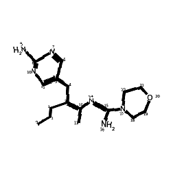 CCC/C(Cc1cnc(N)nc1)=C(C)/N=C(\N)N1CCOCC1